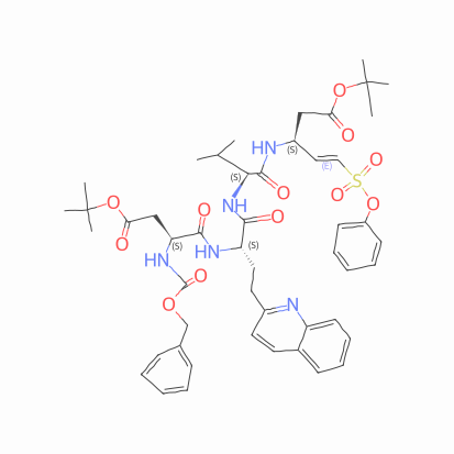 CC(C)[C@H](NC(=O)[C@H](CCc1ccc2ccccc2n1)NC(=O)[C@H](CC(=O)OC(C)(C)C)NC(=O)OCc1ccccc1)C(=O)N[C@H](/C=C/S(=O)(=O)Oc1ccccc1)CC(=O)OC(C)(C)C